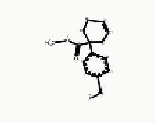 COC(=O)C1(c2ccc(CBr)cc2)CC=CCC1